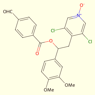 COc1ccc(C(Cc2c(Cl)c[n+]([O-])cc2Cl)OC(=O)c2ccc(C=O)cc2)cc1OC